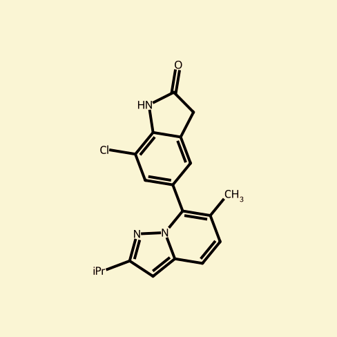 Cc1ccc2cc(C(C)C)nn2c1-c1cc(Cl)c2c(c1)CC(=O)N2